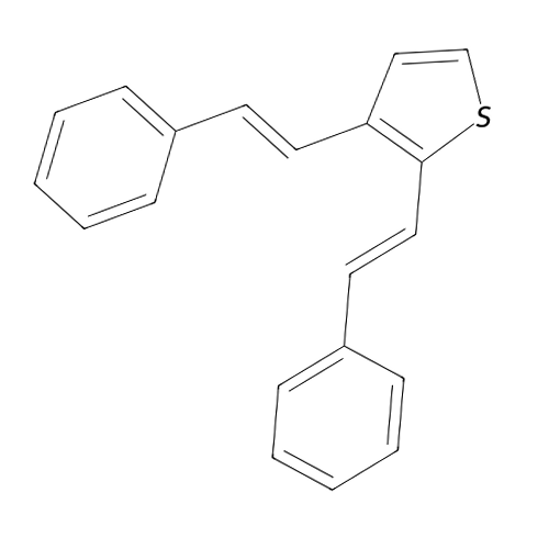 C(=Cc1ccsc1C=Cc1ccccc1)c1ccccc1